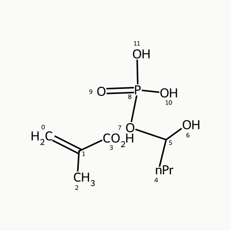 C=C(C)C(=O)O.CCCC(O)OP(=O)(O)O